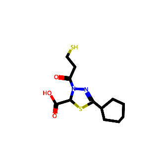 O=C(O)C1SC(C2CCCCC2)=NN1C(=O)CCS